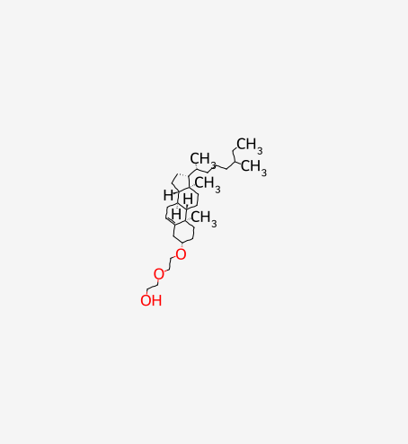 CCC(C)CCC[C@@H](C)[C@H]1CC[C@H]2[C@@H]3CC=C4C[C@@H](OCCOCCO)CC[C@]4(C)[C@H]3CC[C@]12C